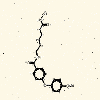 COc1ccc(Oc2ccc(C(=O)NCCCCCC(=O)NO)cc2)cc1